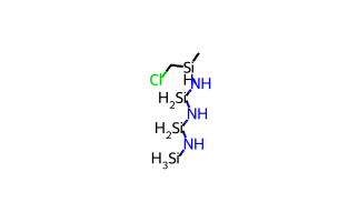 C[SiH](CCl)N[SiH2]N[SiH2]N[SiH3]